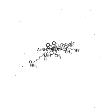 CC(=O)CNC(=O)C(CCCCC(C)C)N1C(=O)C(NC(=O)C(Cc2ccccc2)NC(=O)C(CC(C)C2CCCCC2)NC(=O)C(Cc2ccccc2)NC(=O)C(CC2CN(CCCCCCCCC(N)=O)NN2)NC(C)=O)CC1C